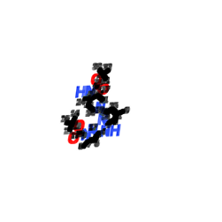 Cc1cc(Nc2cc(C)n(C(=O)OC(C)(C)C)n2)nc(N2CCC(C)(NC(=O)OC(C)(C)C)CC2)c1